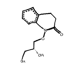 O=C1CCc2ccccc2N1OC[C@H](O)CO